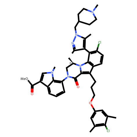 COC(=O)c1cn(C)c2c(N3C[C@@H](C)n4c(c(CCCOc5cc(C)c(Cl)c(C)c5)c5ccc(Cl)c(-c6c(C)nn(CC7CCN(C)CC7)c6C)c54)C3=O)cccc12